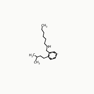 CCCCCCNCc1c[c]ccc1CCC(C)C